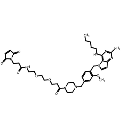 CCCCCNc1nc(N)nc2ccn(Cc3ccc(CN4CCN(C(=O)CCOCCOCCNC(=O)CCN5C(=O)C=CC5=O)CC4)cc3OC)c12